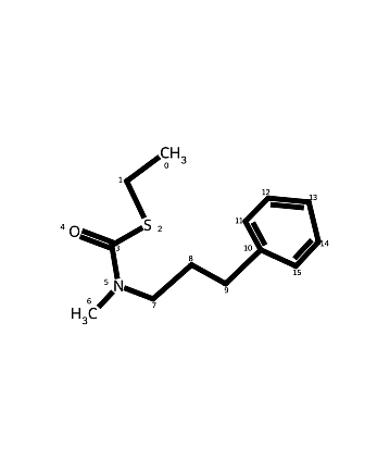 CCSC(=O)N(C)CCCc1ccccc1